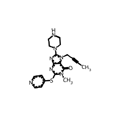 CC#CCn1c(N2CCNCC2)nc2nc(Sc3ccncc3)n(C)c(=O)c21